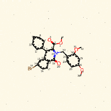 COC(=O)c1c(-c2ccccc2)c2cc(Br)ccc2c(=O)n1Cc1ccc(OC)cc1OC